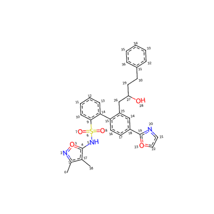 Cc1noc(NS(=O)(=O)c2ccccc2-c2ccc(-c3ncco3)cc2CC(O)CCc2ccccc2)c1C